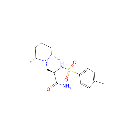 Cc1ccc(S(=O)(=O)N[C@H](CN2[C@H](C)CCC[C@@H]2C)C(N)=O)cc1